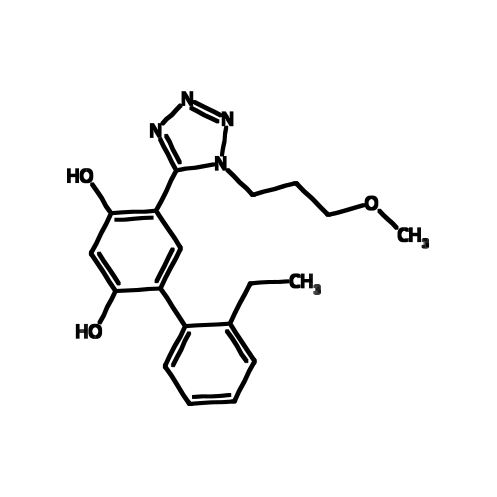 CCc1ccccc1-c1cc(-c2nnnn2CCCOC)c(O)cc1O